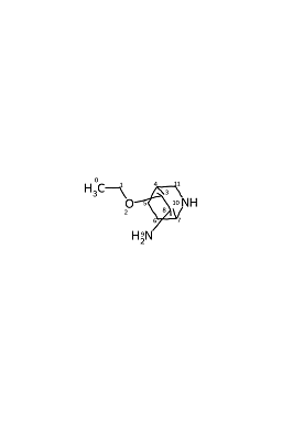 CCOC1=C2CCC(=C1N)NC2